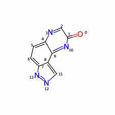 O=C1C=Nc2ccc3c(c2=N1)=CN=N3